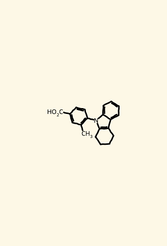 Cc1cc(C(=O)O)ccc1-n1c2c(c3ccccc31)CCCC2